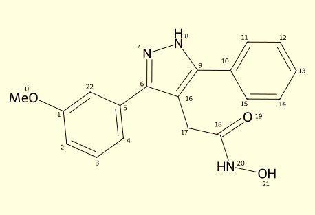 COc1cccc(-c2n[nH]c(-c3ccccc3)c2CC(=O)NO)c1